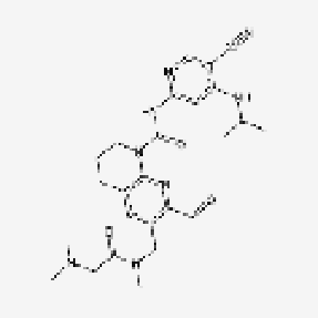 CC(C)Nc1cc(NC(=O)N2CCCc3cc(CN(C)C(=O)CN(C)C)c(C=O)nc32)ncc1C#N